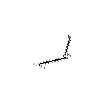 CC(C)CCCCCCCCCCCCCCCCC(=O)O[SiH2]CCCCCCCCCSC#N